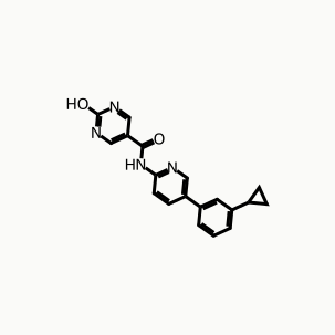 O=C(Nc1ccc(-c2cccc(C3CC3)c2)cn1)c1cnc(O)nc1